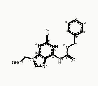 O=CCn1cnc2c(NC(=O)OCc3ccccc3)[nH]c(=O)nc21